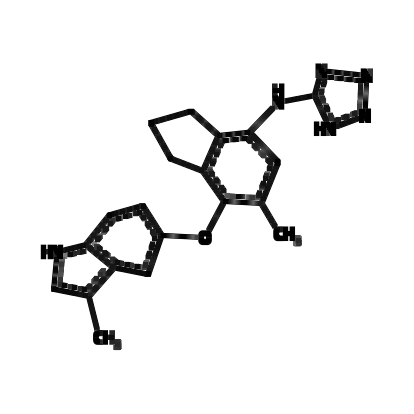 Cc1cc(Nc2nnn[nH]2)c2c(c1Oc1ccc3[nH]cc(C)c3c1)CCC2